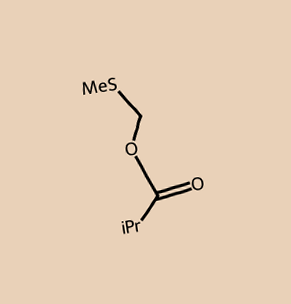 CSCOC(=O)C(C)C